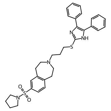 O=S(=O)(c1ccc2c(c1)CCN(CCCSc1nc(-c3ccccc3)c(-c3ccccc3)[nH]1)CC2)N1CCCC1